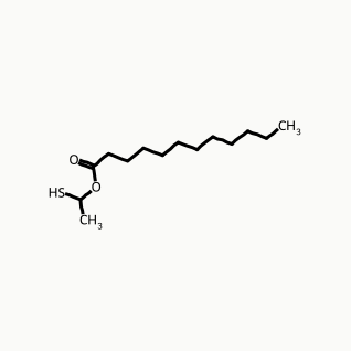 CCCCCCCCCCCC(=O)OC(C)S